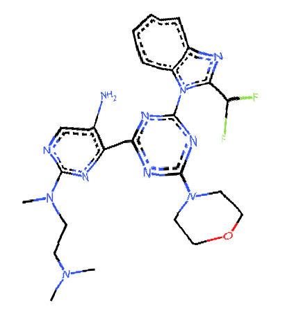 CN(C)CCN(C)c1ncc(N)c(-c2nc(N3CCOCC3)nc(-n3c(C(F)F)nc4ccccc43)n2)n1